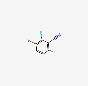 N#Cc1c(F)ccc(Br)c1F